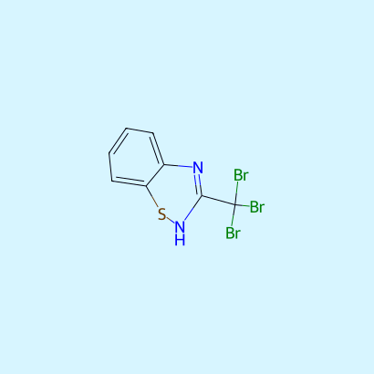 BrC(Br)(Br)C1=Nc2ccccc2SN1